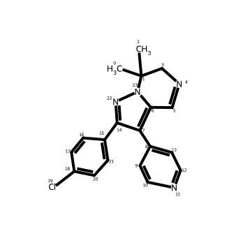 CC1(C)CN=Cc2c(-c3ccncc3)c(-c3ccc(Cl)cc3)nn21